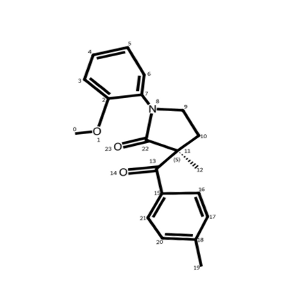 COc1ccccc1N1CC[C@@](C)(C(=O)c2ccc(C)cc2)C1=O